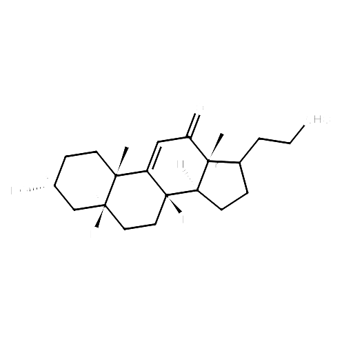 C[C@]12CC[C@@H](O)C[C@H]1CC[C@@H]1C2=CC(=O)[C@]2(C)C(CCC=O)CC[C@@H]12